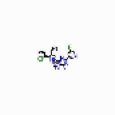 C\C=C/C(Cl)=C\C(=C\CC)CNc1nc(-c2cncc(F)c2)nc(C)c1/N=C\C(C)CC